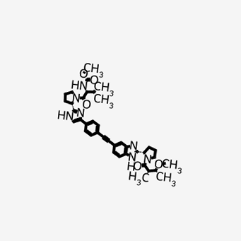 COC(=O)N[C@H](C(=O)N1CCC[C@H]1c1nc(-c2ccc(C#Cc3ccc4[nH]c([C@@H]5CCCN5C(=O)[C@@H](C)[C@@H](C)OC)nc4c3)cc2)c[nH]1)C(C)C